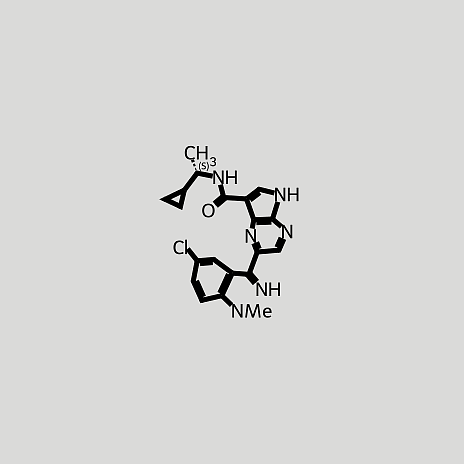 CNc1ccc(Cl)cc1C(=N)c1cnc2[nH]cc(C(=O)N[C@@H](C)C3CC3)c2n1